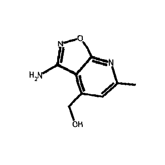 Cc1cc(CO)c2c(N)noc2n1